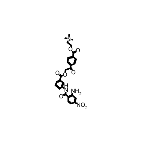 C[Si](C)(C)CCOC(=O)c1ccc(C(=O)COC(=O)c2cccc(NC(=O)c3ccc([N+](=O)[O-])cc3N)c2)cc1